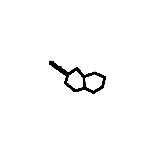 [N-]=[N+]=C1CCC2CCCCC2C1